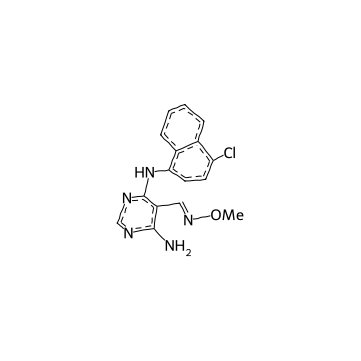 CO/N=C/c1c(N)ncnc1Nc1ccc(Cl)c2ccccc12